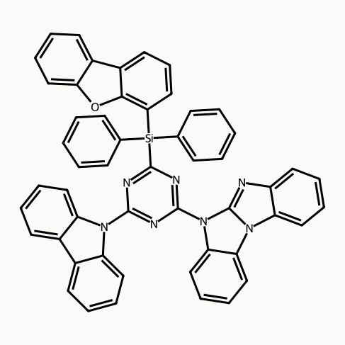 c1ccc([Si](c2ccccc2)(c2nc(-n3c4ccccc4c4ccccc43)nc(-n3c4ccccc4n4c5ccccc5nc34)n2)c2cccc3c2oc2ccccc23)cc1